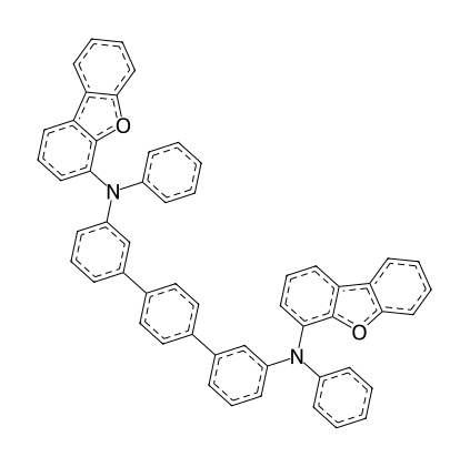 c1ccc(N(c2cccc(-c3ccc(-c4cccc(N(c5ccccc5)c5cccc6c5oc5ccccc56)c4)cc3)c2)c2cccc3c2oc2ccccc23)cc1